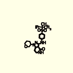 CC(C)C(C)(C)S(=O)(=O)c1ccc(Nc2nn(C3CCCOC3)c3cc[nH]c(=O)c23)cc1